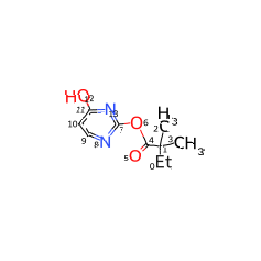 CCC(C)(C)C(=O)Oc1nccc(O)n1